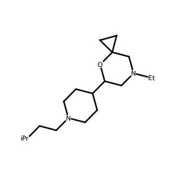 CCN1CC(C2CCN(CCC(C)C)CC2)OC2(CC2)C1